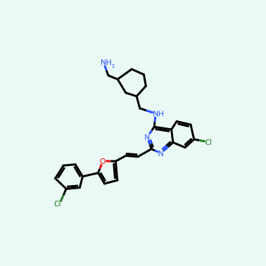 NCC1CCCC(CNc2nc(/C=C/c3ccc(-c4cccc(Cl)c4)o3)nc3cc(Cl)ccc23)C1